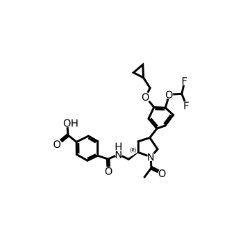 CC(=O)N1CC(c2ccc(OC(F)F)c(OCC3CC3)c2)C[C@@H]1CNC(=O)c1ccc(C(=O)O)cc1